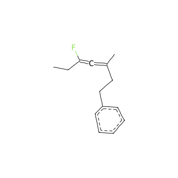 CCC(F)=C=C(C)CCc1ccccc1